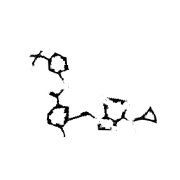 Cc1ccc(C(=O)Nc2cccc(C(F)(F)F)c2)cc1C=Cn1cnc2c(NC3CC3)ncnc21